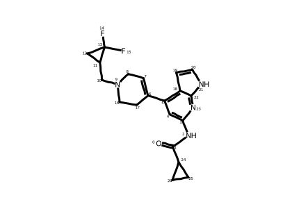 O=C(Nc1cc(C2=CCN(CC3CC3(F)F)CC2)c2cc[nH]c2n1)C1CC1